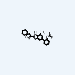 Cc1cc(-c2ccccc2OC(F)F)cc2nc(C3=NOC4(CCCCC4)C3)[nH]c12